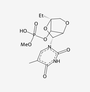 CC[C@]12COC(C1OP(=O)(O)OC)[C@H](n1cc(C)c(=O)[nH]c1=O)O2